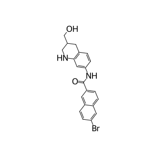 O=C(Nc1ccc2c(c1)NCC(CO)C2)c1ccc2cc(Br)ccc2c1